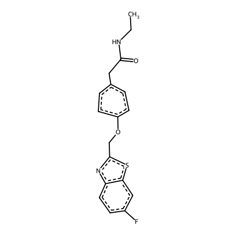 CCNC(=O)Cc1ccc(OCc2nc3ccc(F)cc3s2)cc1